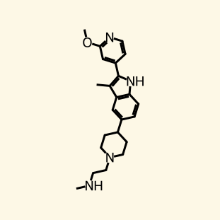 CNCCN1CCC(c2ccc3[nH]c(-c4ccnc(OC)c4)c(C)c3c2)CC1